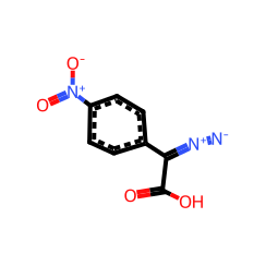 [N-]=[N+]=C(C(=O)O)c1ccc([N+](=O)[O-])cc1